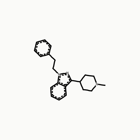 CN1CCC(c2nn(CCc3ccccc3)c3ccccc23)CC1